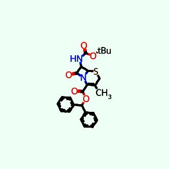 CC1=C(C(=O)OC(c2ccccc2)c2ccccc2)N2C(=O)C(NC(=O)OC(C)(C)C)C2SC1